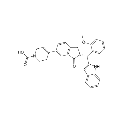 COc1ccccc1[C@H](c1cc2ccccc2[nH]1)N1Cc2ccc(C3=CCN(C(=O)O)CC3)cc2C1=O